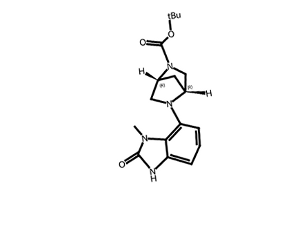 Cn1c(=O)[nH]c2cccc(N3C[C@H]4C[C@@H]3CN4C(=O)OC(C)(C)C)c21